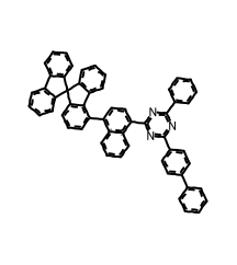 c1ccc(-c2ccc(-c3nc(-c4ccccc4)nc(-c4ccc(-c5cccc6c5-c5ccccc5C65c6ccccc6-c6ccccc65)c5ccccc45)n3)cc2)cc1